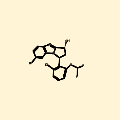 O[C@@H]1C[C@@H](c2c(Cl)cccc2OC(F)F)n2c1nc1ccc(Br)cc12